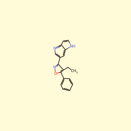 CCc1c(-c2cnc3cc[nH]c3c2)noc1-c1ccccc1